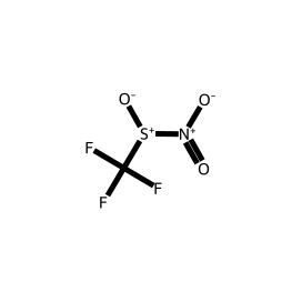 O=[N+]([O-])[S+]([O-])C(F)(F)F